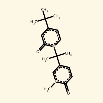 Cn1cc(C(C)(C)n2ccc(C(C)(C)C)cc2=O)ccc1=O